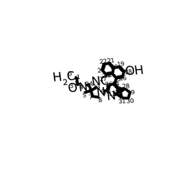 C=CC(=O)N1CC2(CCN(c3nc4c(c(-c5cc(O)cc6ccccc56)c3C#N)C3CCC4C3)C2)C1